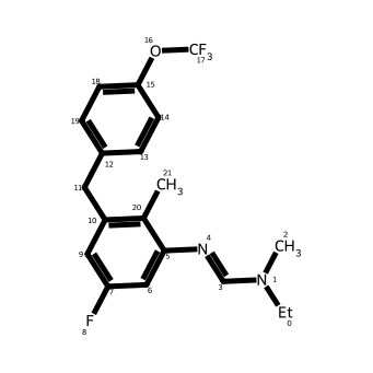 CCN(C)/C=N/c1cc(F)cc(Cc2ccc(OC(F)(F)F)cc2)c1C